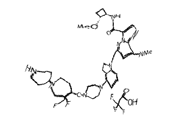 CNc1cc(N2CCc3c(N4CCN(C[C@@H]5CCN(C6CCNCC6)CC5(F)F)CC4)cccc32)nn2c(C(=O)N[C@@H]3CC[C@H]3OC)cnc12.O=C(O)C(F)(F)F